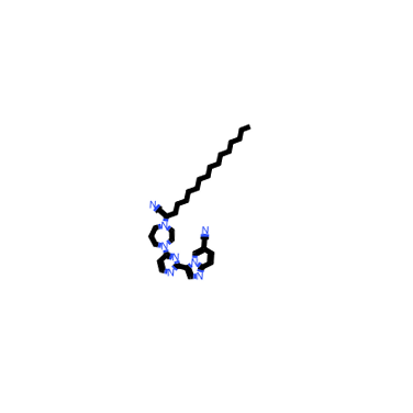 CCCCCCCCCCCCCCCC(C#N)N1CCCN(c2ccnc(-c3cnc4ccc(C#N)cn34)n2)CC1